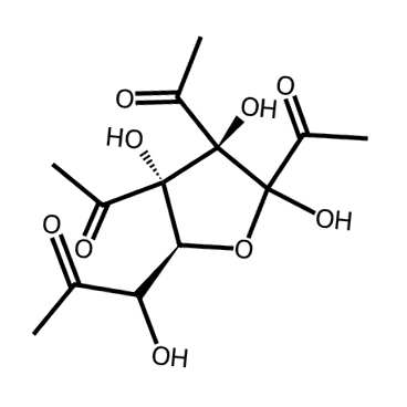 CC(=O)C(O)[C@@H]1OC(O)(C(C)=O)[C@@](O)(C(C)=O)[C@]1(O)C(C)=O